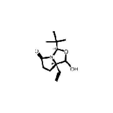 C=C[C@@]12CCC(=O)N1[C@@H](C(C)(C)C)OC2O